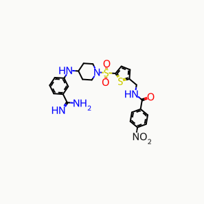 N=C(N)c1cccc(NC2CCN(S(=O)(=O)c3ccc(CNC(=O)c4ccc([N+](=O)[O-])cc4)s3)CC2)c1